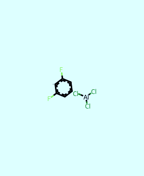 Fc1[c]c(F)ccc1.[Cl][Al]([Cl])[Cl]